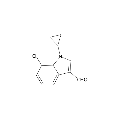 O=Cc1cn(C2CC2)c2c(Cl)cccc12